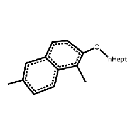 CCCCCCCOc1ccc2cc(C)ccc2c1C